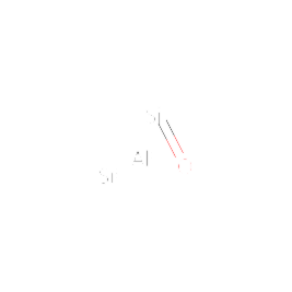 O=[Si].[Al].[Si]